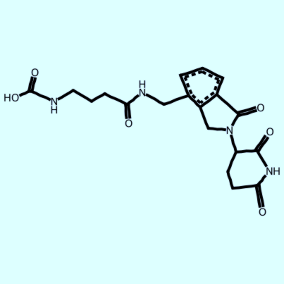 O=C(O)NCCCC(=O)NCc1cccc2c1CN(C1CCC(=O)NC1=O)C2=O